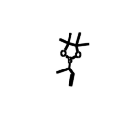 C=CC(C)B1OC(C)(C)C(C)(C)O1